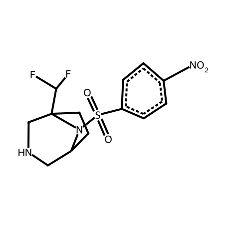 O=[N+]([O-])c1ccc(S(=O)(=O)N2C3CCC2(C(F)F)CNC3)cc1